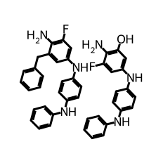 Nc1c(F)cc(Nc2ccc(Nc3ccccc3)cc2)cc1Cc1ccccc1.Nc1c(O)cc(Nc2ccc(Nc3ccccc3)cc2)cc1F